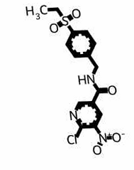 CCS(=O)(=O)c1ccc(CNC(=O)c2cnc(Cl)c([N+](=O)[O-])c2)cc1